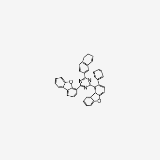 C1=Cc2cc(-c3nc(-c4cccc5c4oc4ccccc45)nc(-c4c(-c5ccccc5)ccc5oc6ccccc6c45)n3)ccc2CC1